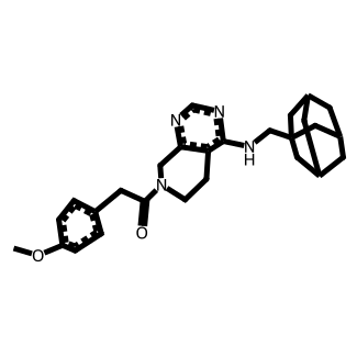 COc1ccc(CC(=O)N2CCc3c(ncnc3NCC34CC5CC(CC(C5)C3)C4)C2)cc1